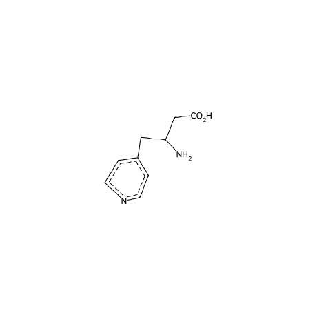 NC(CC(=O)O)Cc1ccncc1